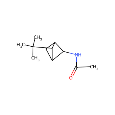 CC(=O)NC1C2CC1C2C(C)(C)C